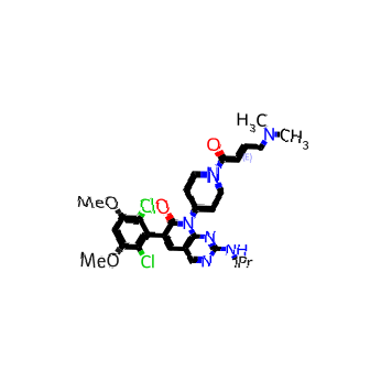 COc1cc(OC)c(Cl)c(-c2cc3cnc(NC(C)C)nc3n(C3CCN(C(=O)/C=C/CN(C)C)CC3)c2=O)c1Cl